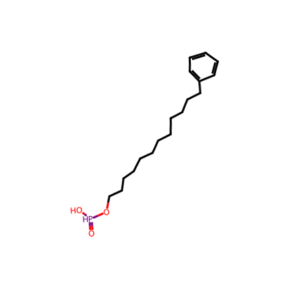 O=[PH](O)OCCCCCCCCCCCCc1ccccc1